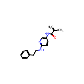 C=C(C)C(=O)Nc1ccc(NCCc2ccccc2)nc1